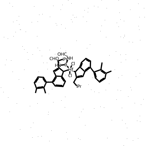 Cc1cccc(-c2cccc3c2C=C(CC(C)C)[CH]3[Hf]([Cl])([Cl])([B](NC=O)NC=O)[CH]2C(CC(C)C)=Cc3c(-c4cccc(C)c4C)cccc32)c1C